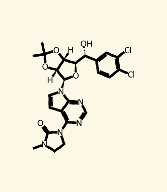 CN1CCN(c2ncnc3c2ccn3[C@@H]2O[C@H]([C@H](O)c3ccc(Cl)c(Cl)c3)[C@H]3OC(C)(C)O[C@H]32)C1=O